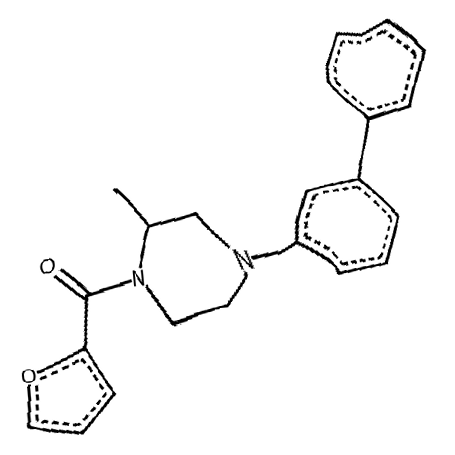 CC1CN(c2cccc(-c3ccccc3)c2)CCN1C(=O)c1ccco1